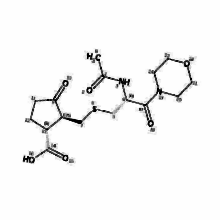 CC(=O)N[C@@H](CSC[C@@H]1C(=O)CC[C@H]1C(=O)O)C(=O)N1CCOCC1